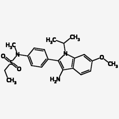 CCS(=O)(=O)N(C)c1ccc(-c2c(N)c3ccc(OC)cc3n2C(C)C)cc1